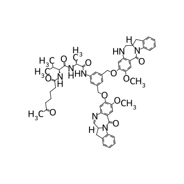 COc1cc2c(cc1OCc1cc(COc3cc4c(cc3OC)C(=O)N3c5ccccc5C[C@H]3CN4)cc(NC(=O)[C@H](C)NC(=O)[C@@H](NC(=O)CCCCC(C)=O)C(C)C)c1)N=C[C@@H]1Cc3ccccc3N1C2=O